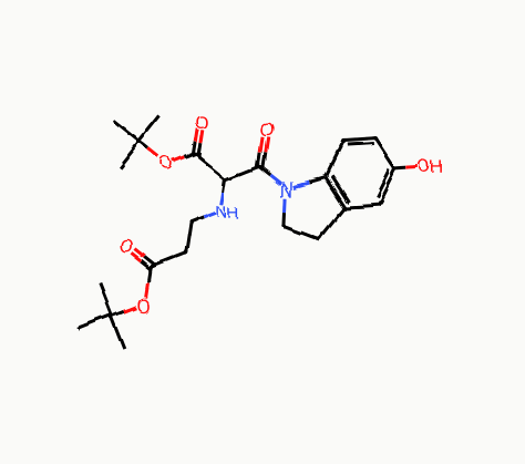 CC(C)(C)OC(=O)CCNC(C(=O)OC(C)(C)C)C(=O)N1CCc2cc(O)ccc21